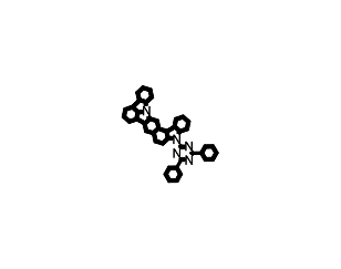 c1ccc(-c2nc(-c3ccccc3)nc(-n3c4ccccc4c4c5cc6c(cc5ccc43)c3cccc4c5ccccc5n6c43)n2)cc1